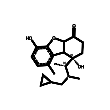 Cc1ccc(O)c2c1C1C(O2)C(=O)CC[C@@]1(O)[C@@H](C)N(C)CC1CC1